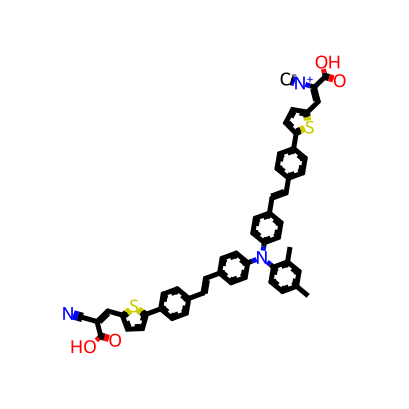 [C-]#[N+]/C(=C\c1ccc(-c2ccc(/C=C/c3ccc(N(c4ccc(/C=C/c5ccc(-c6ccc(/C=C(/C#N)C(=O)O)s6)cc5)cc4)c4ccc(C)cc4C)cc3)cc2)s1)C(=O)O